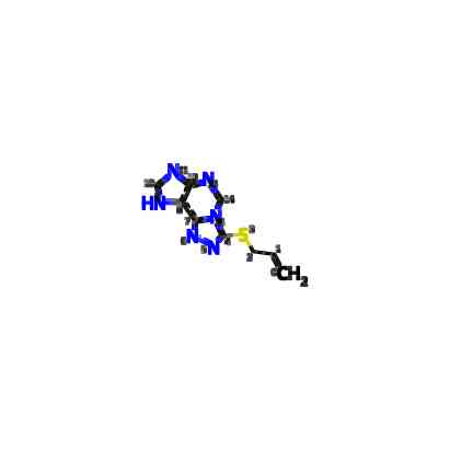 C=CCSc1nnc2c3[nH]cnc3ncn12